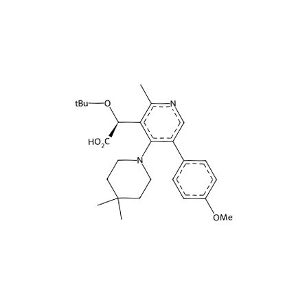 COc1ccc(-c2cnc(C)c([C@H](OC(C)(C)C)C(=O)O)c2N2CCC(C)(C)CC2)cc1